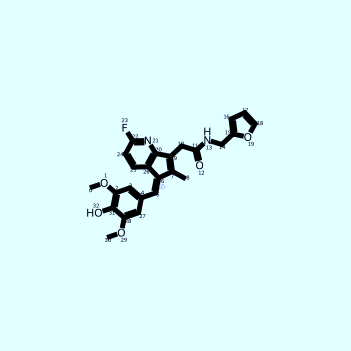 COc1cc(/C=C2/C(C)=C(CC(=O)NCc3ccco3)c3nc(F)ccc32)cc(OC)c1O